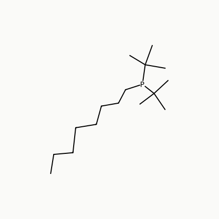 CCCCCCCCP(C(C)(C)C)C(C)(C)C